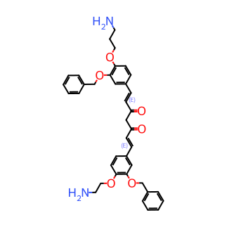 NCCCOc1ccc(/C=C/C(=O)CC(=O)/C=C/c2ccc(OCCN)c(OCc3ccccc3)c2)cc1OCc1ccccc1